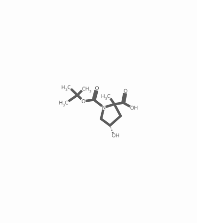 CC(C)(C)OC(=O)N1C[C@@H](O)CC1(C)C(=O)O